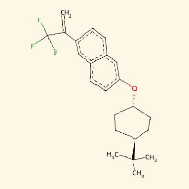 C=C(c1ccc2cc(O[C@H]3CC[C@H](C(C)(C)C)CC3)ccc2c1)C(F)(F)F